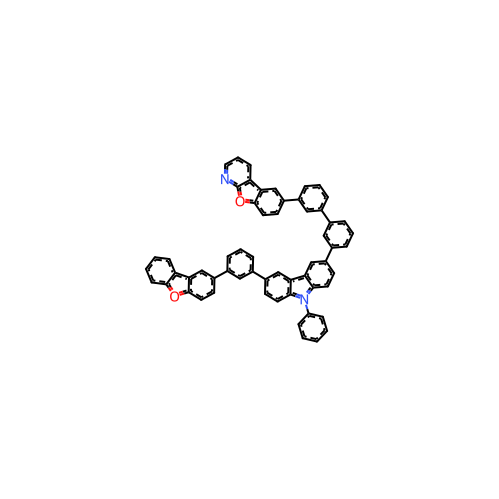 c1ccc(-n2c3ccc(-c4cccc(-c5cccc(-c6ccc7oc8ncccc8c7c6)c5)c4)cc3c3cc(-c4cccc(-c5ccc6oc7ccccc7c6c5)c4)ccc32)cc1